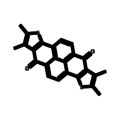 Cc1sc2c(c1C)C(=O)c1ccc3c4c(ccc-2c14)C(=O)c1c-3sc(C)c1C